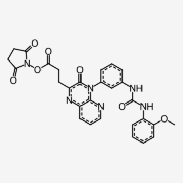 COc1ccccc1NC(=O)Nc1cccc(-n2c(=O)c(CCC(=O)ON3C(=O)CCC3=O)nc3cccnc32)c1